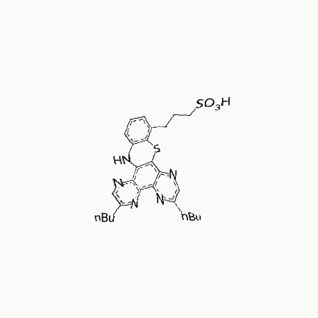 CCCCc1cnc2c3c(c4ncc(CCCC)nc4c2n1)Sc1c(CCCS(=O)(=O)O)cccc1N3